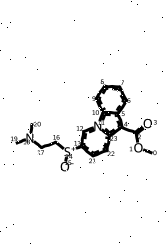 COC(=O)c1c2ccccc2n2cc([S+]([O-])CCN(C)C)ccc12